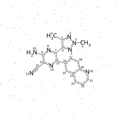 Cc1nn(C)nc1-c1nc(N)c(C#N)nc1-c1ccc2ncccc2c1